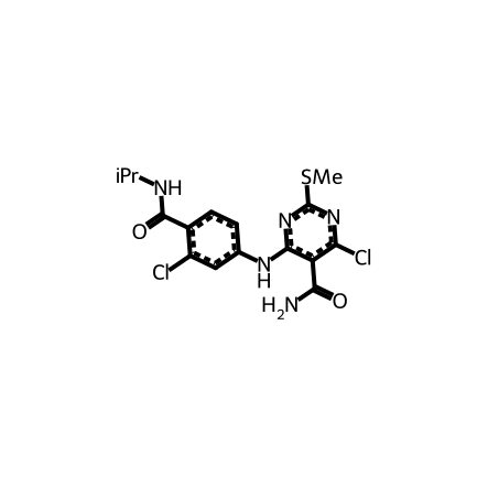 CSc1nc(Cl)c(C(N)=O)c(Nc2ccc(C(=O)NC(C)C)c(Cl)c2)n1